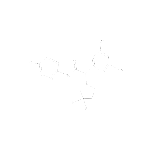 N#Cc1cc(C#N)cc(C(C(=O)Nc2ccc(Cl)nn2)C2CCC(F)(F)C2)c1